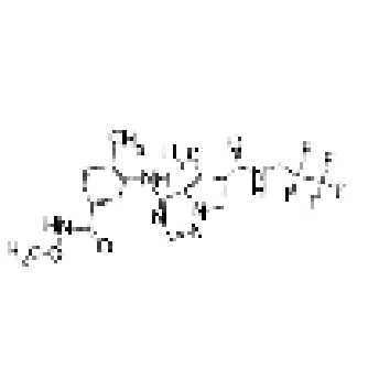 CONC(=O)c1ccc(C)c(Nc2ncnn3cc(C(=O)NCC(F)(F)C(F)(F)F)c(C)c23)c1